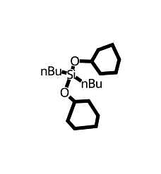 CCCC[Si](CCCC)(OC1CCCCC1)OC1CCCCC1